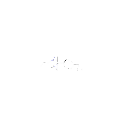 CCC/C=N\C(=N/C)C1=CCC(CO)CC1